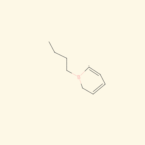 CCCCB1[C]=CC=CC1